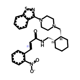 O=C(/C=C/c1ccccc1[N+](=O)[O-])NC[C@H]1CCCC[C@H]1CN1CCN(c2nsc3ccccc23)CC1